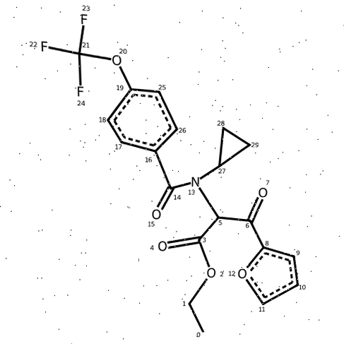 CCOC(=O)C(C(=O)c1ccco1)N(C(=O)c1ccc(OC(F)(F)F)cc1)C1CC1